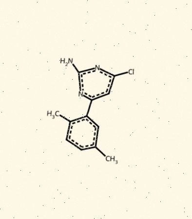 Cc1ccc(C)c(-c2cc(Cl)nc(N)n2)c1